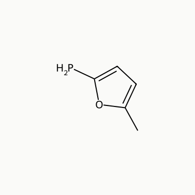 Cc1ccc(P)o1